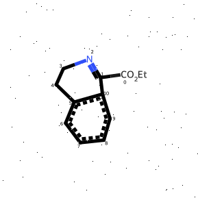 CCOC(=O)C1=NCCc2ccccc21